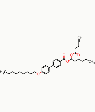 C#CCCC(=O)OC(CCCCC)OC(=O)c1ccc(-c2ccc(OCCCCCCCCC)cc2)cc1